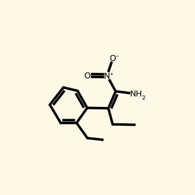 CCC(=C(N)[N+](=O)[O-])c1ccccc1CC